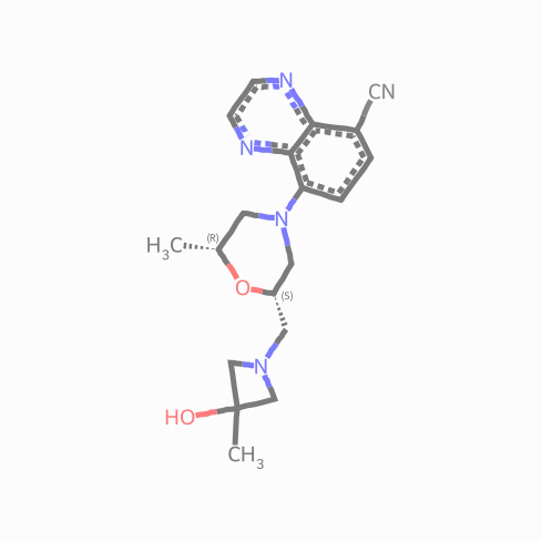 C[C@@H]1CN(c2ccc(C#N)c3nccnc23)C[C@H](CN2CC(C)(O)C2)O1